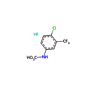 F.O=C(O)Nc1ccc(Cl)c(C(F)(F)F)c1